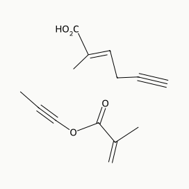 C#CCC=C(C)C(=O)O.C=C(C)C(=O)OC#CC